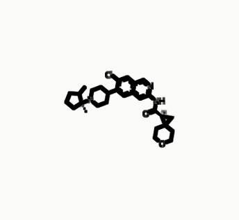 CC1CCC[C@]1(C)N1CCC(c2cc3cc(NC(=O)[C@H]4CC45CCOCC5)ncc3cc2Cl)CC1